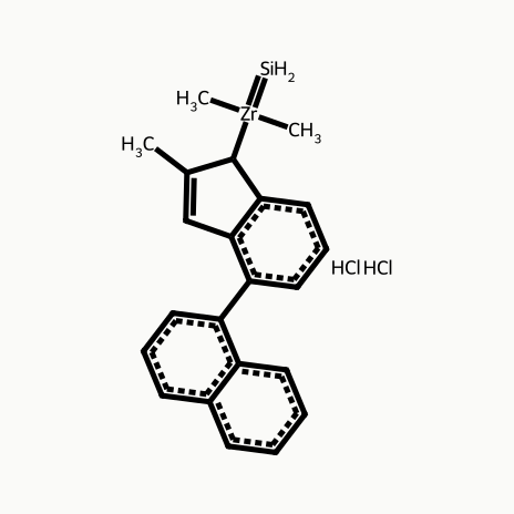 CC1=Cc2c(-c3cccc4ccccc34)cccc2[CH]1[Zr]([CH3])([CH3])=[SiH2].Cl.Cl